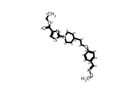 CCOC(=O)c1csc(N2CCC(CCOc3ccc(C=NOC)cc3)CC2)n1